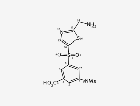 CNc1cc(C(=O)O)cc(S(=O)(=O)c2cnc(CN)s2)c1